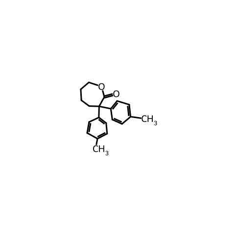 Cc1ccc(C2(c3ccc(C)cc3)CCCCOC2=O)cc1